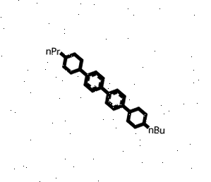 CCCCC1CCC(c2ccc(-c3ccc(C4CCC(CCC)CC4)cc3)cc2)CC1